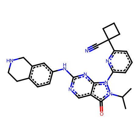 CC(C)n1c(=O)c2cnc(Nc3ccc4c(c3)CNCC4)nc2n1-c1cccc(C2(C#N)CCC2)n1